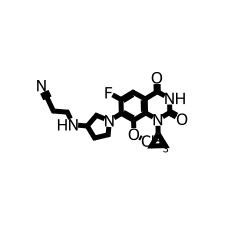 COc1c(N2CCC(NCCC#N)C2)c(F)cc2c(=O)[nH]c(=O)n(C3CC3)c12